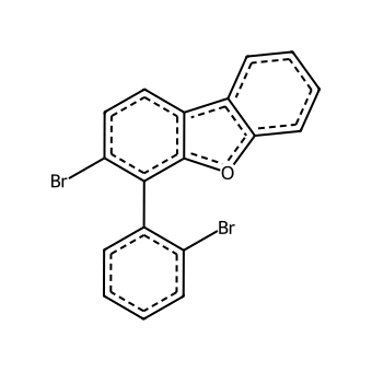 Brc1ccccc1-c1c(Br)ccc2c1oc1ccccc12